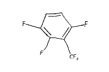 Fc1ccc(F)c(C(F)(F)F)c1F